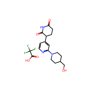 O=C(O)C(F)(F)F.O=C1CCC(c2ccnc(N3CCC(CO)CC3)c2)C(=O)N1